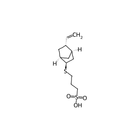 C=C[C@H]1C[C@H]2C[C@@H]1C[C@H]2SCCCS(=O)(=O)O